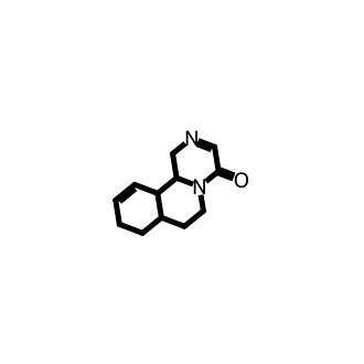 O=C1C=NCC2C3C=CCCC3CCN12